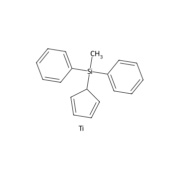 C[Si](c1ccccc1)(c1ccccc1)C1C=CC=C1.[Ti]